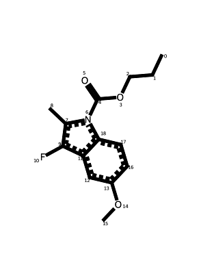 CCCOC(=O)n1c(C)c(F)c2cc(OC)ccc21